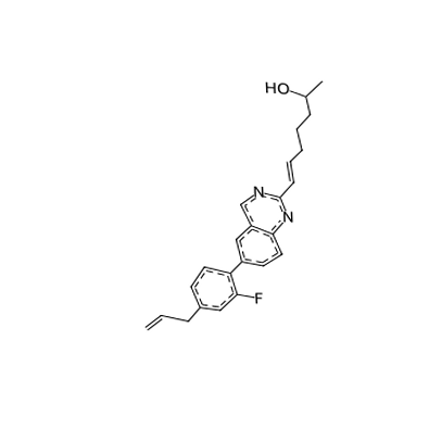 C=CCc1ccc(-c2ccc3nc(/C=C/CCCC(C)O)ncc3c2)c(F)c1